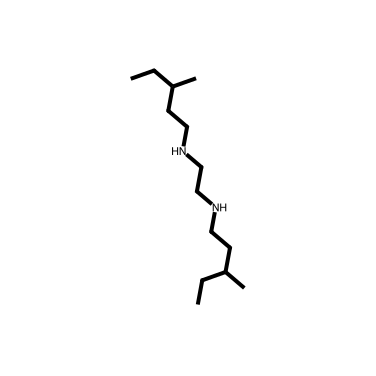 CCC(C)CCNCCNCCC(C)CC